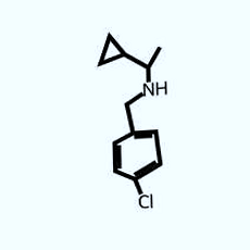 CC(NCc1ccc(Cl)cc1)C1CC1